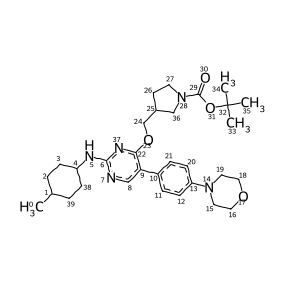 CC1CCC(Nc2ncc(-c3ccc(N4CCOCC4)cc3)c(OCC3CCN(C(=O)OC(C)(C)C)C3)n2)CC1